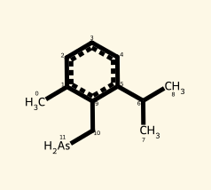 Cc1cccc(C(C)C)c1C[AsH2]